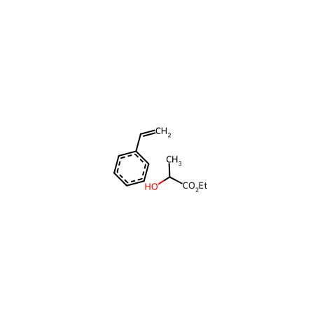 C=Cc1ccccc1.CCOC(=O)C(C)O